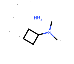 CN(C)C1CCC1.N